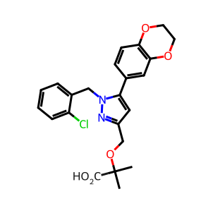 CC(C)(OCc1cc(-c2ccc3c(c2)OCCO3)n(Cc2ccccc2Cl)n1)C(=O)O